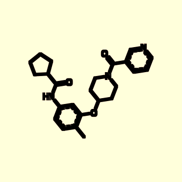 Cc1ccc(NC(=O)C2CCCC2)cc1OC1CCN(C(=O)c2cccnc2)CC1